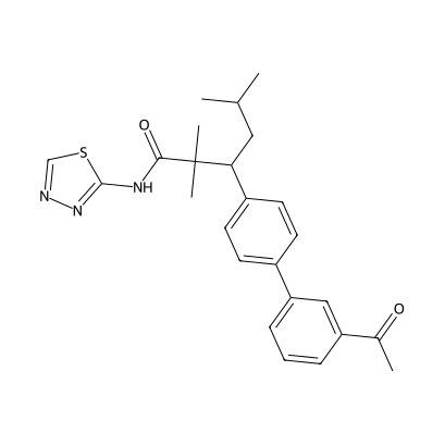 CC(=O)c1cccc(-c2ccc(C(CC(C)C)C(C)(C)C(=O)Nc3nncs3)cc2)c1